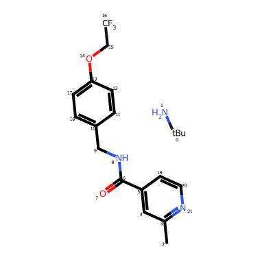 CC(C)(C)N.Cc1cc(C(=O)NCc2ccc(OCC(F)(F)F)cc2)ccn1